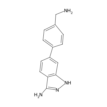 NCc1ccc(-c2ccc3c(N)n[nH]c3c2)cc1